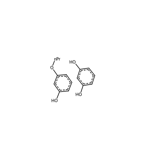 CCCOc1cccc(O)c1.Oc1cccc(O)c1